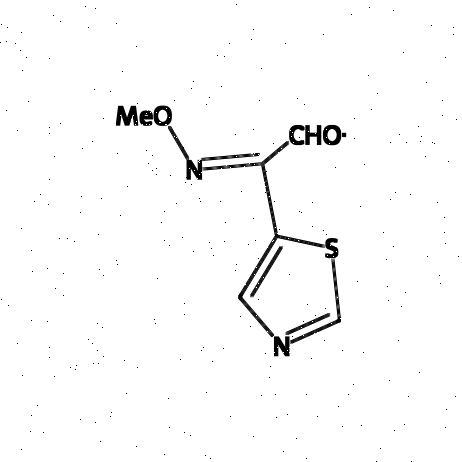 CON=C([C]=O)c1cncs1